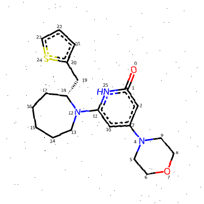 O=c1cc(N2CCOCC2)cc(N2CCCCC[C@@H]2Cc2cccs2)[nH]1